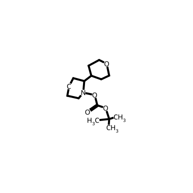 CC(C)(C)OC(=O)ON1CCCCC1C1CCOCC1